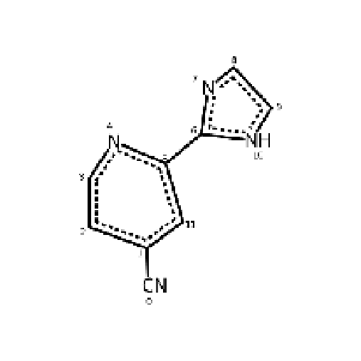 N#Cc1ccnc(-c2ncc[nH]2)c1